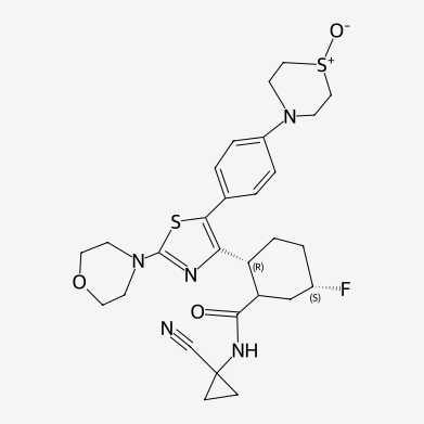 N#CC1(NC(=O)C2C[C@@H](F)CC[C@H]2c2nc(N3CCOCC3)sc2-c2ccc(N3CC[S+]([O-])CC3)cc2)CC1